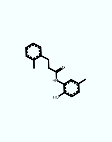 Cc1ccc(O)c(NC(=O)CCc2ccccc2C)c1